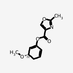 CO[C@@H]1C=C(OC(=O)c2coc(C)n2)C=CC1